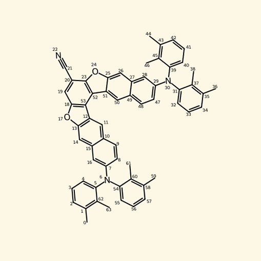 Cc1cccc(N(c2ccc3cc4c(cc3c2)oc2cc(C#N)c3oc5cc6cc(N(c7cccc(C)c7C)c7cccc(C)c7C)ccc6cc5c3c24)c2cccc(C)c2C)c1C